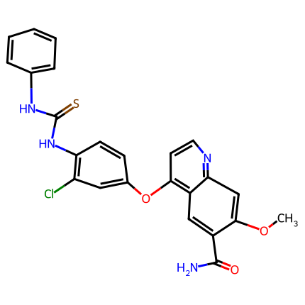 COc1cc2nccc(Oc3ccc(NC(=S)Nc4ccccc4)c(Cl)c3)c2cc1C(N)=O